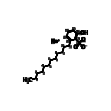 CCCCCCCCCCCCc1cccc(O)c1S(=O)(=O)[O-].[Na+]